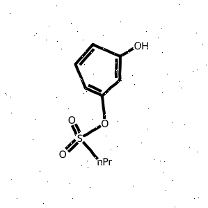 CCCS(=O)(=O)Oc1cccc(O)c1